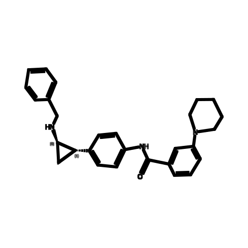 O=C(Nc1ccc([C@@H]2C[C@H]2NCc2ccccc2)cc1)c1cccc(N2CCCCC2)c1